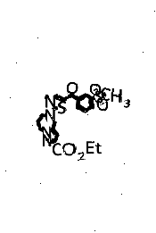 CCOC(=O)c1cc2n(n1)CCCN(c1ncc(C(=O)c3cccc(S(C)(=O)=O)c3)s1)C2